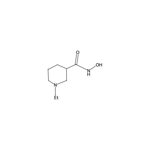 CCN1CCCC(C(=O)NO)C1